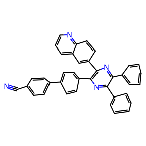 N#Cc1ccc(-c2ccc(-c3nc(-c4ccccc4)c(-c4ccccc4)nc3-c3ccc4ncccc4c3)cc2)cc1